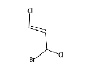 ClC=CC(Cl)Br